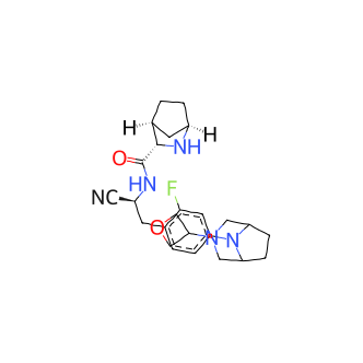 N#C[C@H](Cc1ccc(N2C3CCC2CN(C2COC2)C3)cc1F)NC(=O)[C@H]1N[C@@H]2CC[C@H]1C2